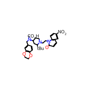 CC(C)(C)C1CC(N(Cc2ccc3c(c2)OCCO3)C(=O)O)CCN1CCn1c(=O)ccc2cc([N+](=O)[O-])ccc21